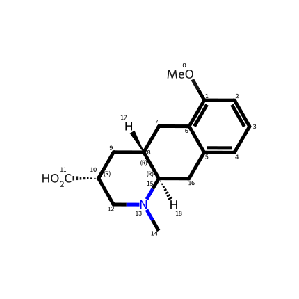 COc1cccc2c1C[C@H]1C[C@@H](C(=O)O)CN(C)[C@@H]1C2